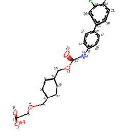 O=C(O)COCC1CCC(COC(=O)Nc2ccc(-c3ccc(Cl)c(F)c3)cc2)CC1